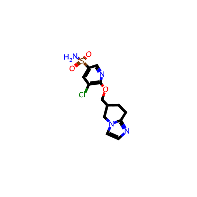 NS(=O)(=O)c1cnc(OCC2CCc3nccn3C2)c(Cl)c1